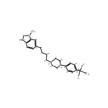 [O-][S+]1CNc2ccc(CCCCN3CCN(c4ccc(C(F)(F)F)cc4)CC3)cc21